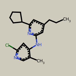 CCCc1cc(Nc2cc(Cl)ncc2C)nc(C2CCCC2)c1